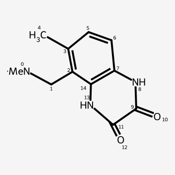 C[N]Cc1c(C)ccc2[nH]c(=O)c(=O)[nH]c12